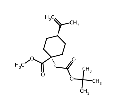 C=C(C)[C@H]1CC[C@@](CC(=O)OC(C)(C)C)(C(=O)OC)CC1